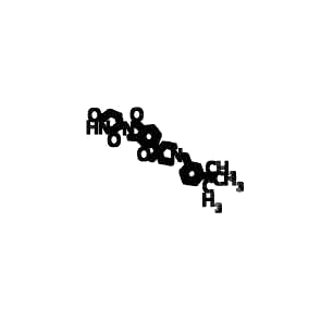 CC(C)(C)c1cccc(CN2CCC3(CC2)COc2c3ccc3c2CN(C2CCC(=O)NC2=O)C3=O)c1